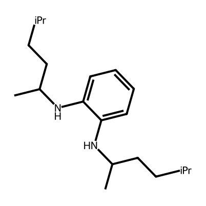 CC(C)CCC(C)Nc1ccccc1NC(C)CCC(C)C